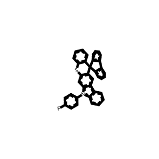 Fc1ccc(-n2c3ccccc3c3cc4c(cc32)Sc2ccccc2C42c3ccccc3-c3ccccc32)cc1